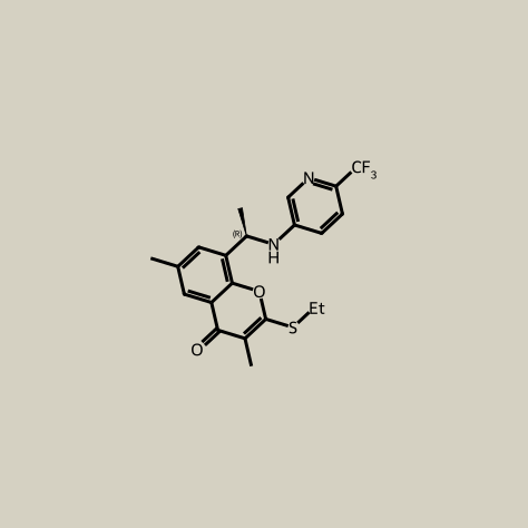 CCSc1oc2c([C@@H](C)Nc3ccc(C(F)(F)F)nc3)cc(C)cc2c(=O)c1C